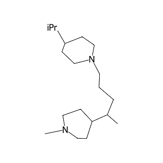 CC(C)C1CCN(CCCC(C)C2CCN(C)CC2)CC1